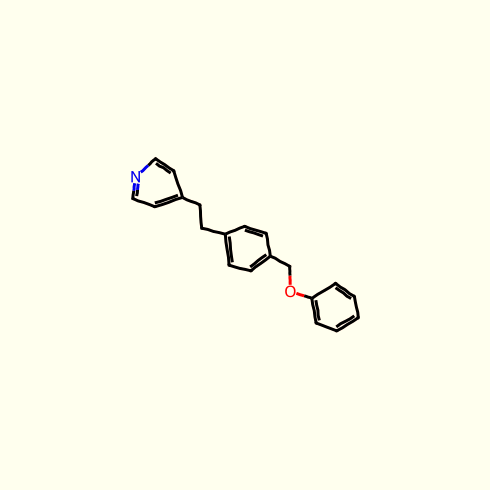 c1ccc(OCc2ccc(CCc3ccncc3)cc2)cc1